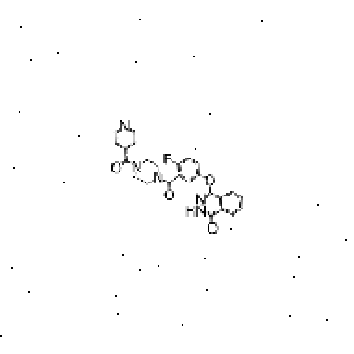 O=C(c1ccncc1)N1CCN(C(=O)c2cc(Oc3n[nH]c(=O)c4ccccc34)ccc2F)CC1